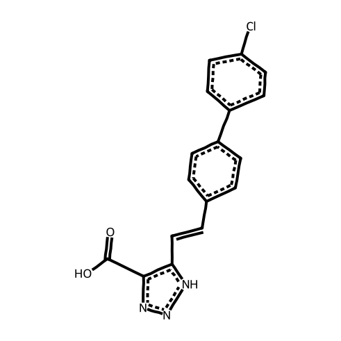 O=C(O)c1nn[nH]c1/C=C/c1ccc(-c2ccc(Cl)cc2)cc1